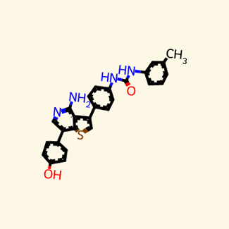 Cc1cccc(NC(=O)Nc2ccc(-c3csc4c(-c5ccc(O)cc5)cnc(N)c34)cc2)c1